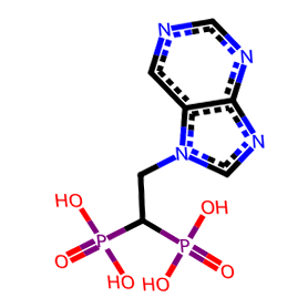 O=P(O)(O)C(Cn1cnc2ncncc21)P(=O)(O)O